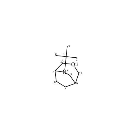 CC(C)(C)N1CC2CCC1COC2